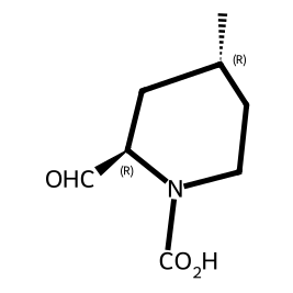 C[C@@H]1CCN(C(=O)O)[C@@H](C=O)C1